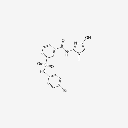 Cn1cc(O)nc1NC(=O)c1cccc(S(=O)(=O)Nc2ccc(Br)cc2)c1